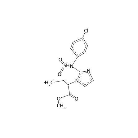 [CH2]CC(C(=O)OC)n1ccnc1N(c1ccc(Cl)cc1)[SH](=O)=O